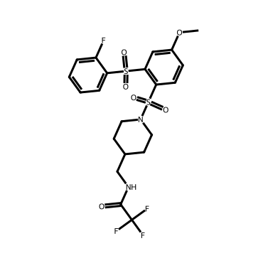 COc1ccc(S(=O)(=O)N2CCC(CNC(=O)C(F)(F)F)CC2)c(S(=O)(=O)c2ccccc2F)c1